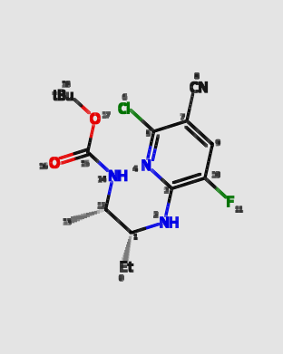 CC[C@@H](Nc1nc(Cl)c(C#N)cc1F)[C@H](C)NC(=O)OC(C)(C)C